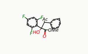 COC(=O)C(O)(c1c(F)cc(F)cc1F)C(C(C)=O)c1ccccc1